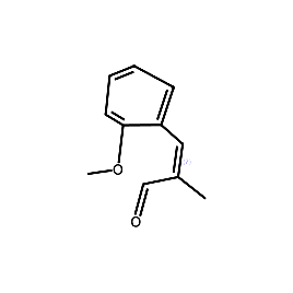 COc1ccccc1/C=C(/C)C=O